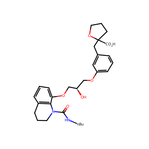 CCCCNC(=O)N1CCCc2cccc(OC[C@H](O)COc3cccc(CC4(C(=O)O)CCCO4)c3)c21